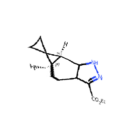 CCOC(=O)C1=NNC2C1C[C@@H]1[C@H]2C12CC2